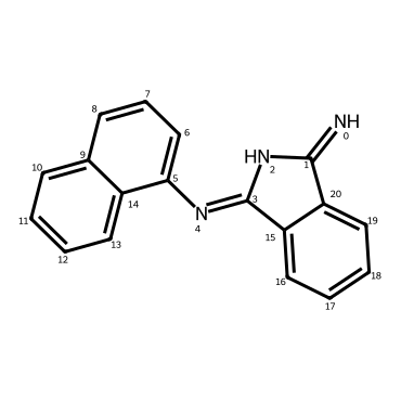 N=C1NC(=Nc2cccc3ccccc23)c2ccccc21